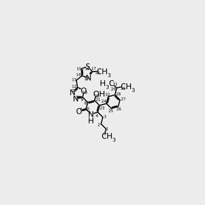 CCCCc1[nH]c(=O)c(-c2nnc(Cc3csc(C)n3)o2)c(O)c1-c1cccc(C(C)C)c1